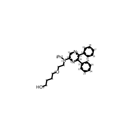 CC(C)N(CCOCCCCO)c1cnc(-c2ccccc2)c(-c2ccccc2)n1